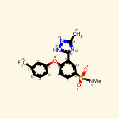 CNS(=O)(=O)c1ccc(Oc2cccc(C(F)(F)F)c2)c(-c2nc(C)n[nH]2)c1